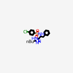 CCCCc1nnc(C(Cc2ccccc2)NS(=O)(=O)c2ccc(Cl)cc2)[nH]1